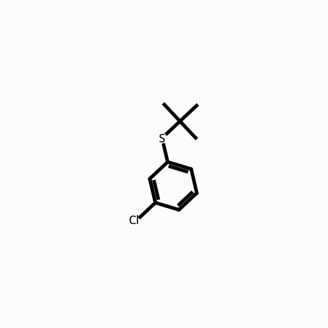 CC(C)(C)Sc1cccc(Cl)c1